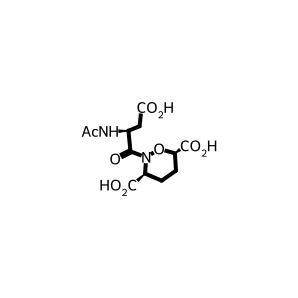 CC(=O)N[C@@H](CC(=O)O)C(=O)N1O[C@@H](C(=O)O)CC[C@H]1C(=O)O